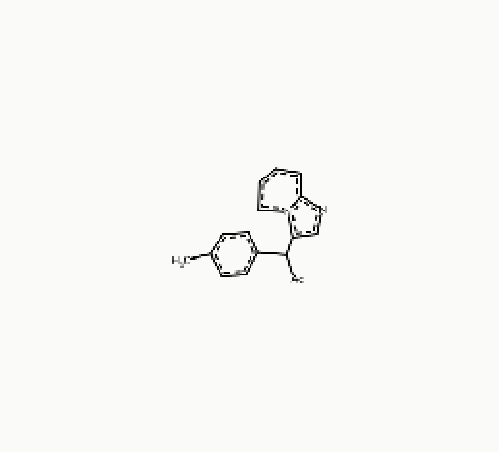 CC(=O)C(c1ccc(C)cc1)c1cnc2ccccn12